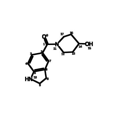 O=C(c1ccc2c(c1)CCN2)N1CCC(O)CC1